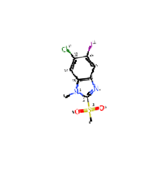 Cn1c(S(C)(=O)=O)nc2cc(I)c(Cl)cc21